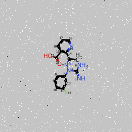 C/C(=N\N(C(=N)N)c1cccc(F)c1)c1ncccc1C(=O)O